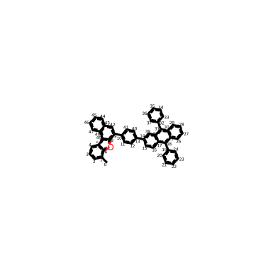 Cc1cccc2c1oc1c(-c3ccc(-c4ccc5c(-c6ccccc6)c6ccccc6c(-c6ccccc6)c5c4)cc3)cc3ccccc3c12